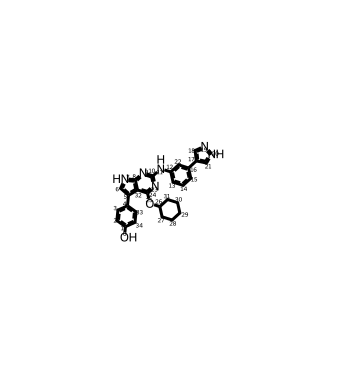 Oc1ccc(-c2c[nH]c3nc(Nc4cccc(-c5cn[nH]c5)c4)nc(OC4CCCCC4)c23)cc1